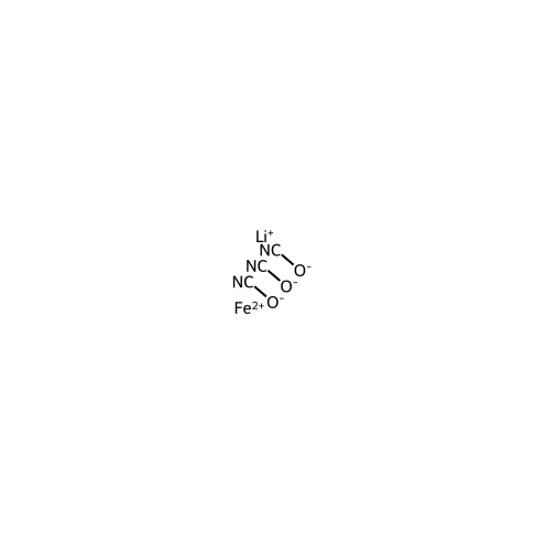 N#C[O-].N#C[O-].N#C[O-].[Fe+2].[Li+]